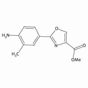 COC(=O)c1coc(-c2ccc(N)c(C)c2)n1